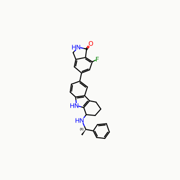 C[C@@H](NC1CCCc2c1[nH]c1ccc(-c3cc(F)c4c(c3)CNC4=O)cc21)c1ccccc1